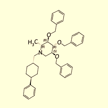 C[C@@H]1[C@@H](OCc2ccccc2)[C@H](OCc2ccccc2)[C@@H](OCc2ccccc2)CN1C[C@H]1CC[C@H](c2ccccc2)CC1